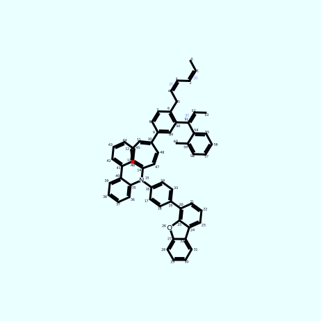 C/C=C\C=C/Cc1ccc(C2=CCC=C(N(c3ccc(-c4cccc5c4oc4ccccc45)cc3)c3ccccc3-c3ccccc3)C=C2)cc1/C(=C/C)c1ccccc1C